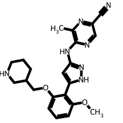 COc1cccc(OCC2CCCNC2)c1-c1cc(Nc2ncc(C#N)nc2C)n[nH]1